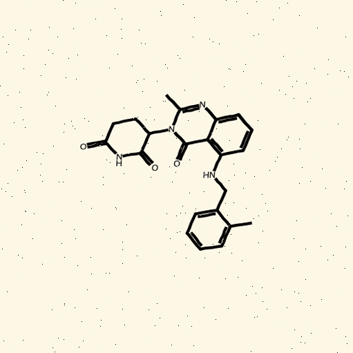 Cc1ccccc1CNc1cccc2nc(C)n(C3CCC(=O)NC3=O)c(=O)c12